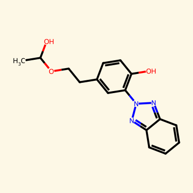 CC(O)OCCc1ccc(O)c(-n2nc3ccccc3n2)c1